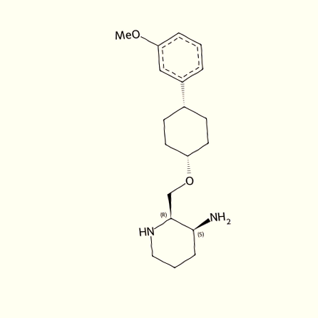 COc1cccc([C@H]2CC[C@@H](OC[C@@H]3NCCC[C@@H]3N)CC2)c1